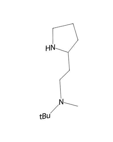 CN(CCC1CCCN1)C(C)(C)C